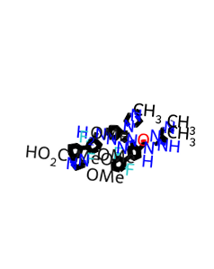 CN1CCN(Cc2ccc(N)nc2)CC1.COc1cc(OC)c(F)c(-c2ccc(C(=O)Nc3nc(CN(C)C)c[nH]3)c3nccnc23)c1F.COc1cc(OC)c(F)c(-c2ccc(C(=O)O)c3nccnc23)c1F